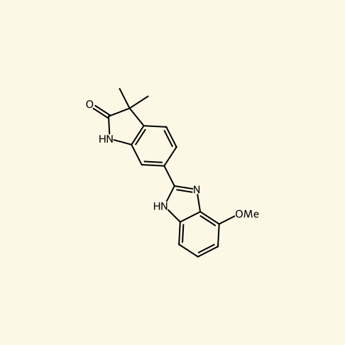 COc1cccc2[nH]c(-c3ccc4c(c3)NC(=O)C4(C)C)nc12